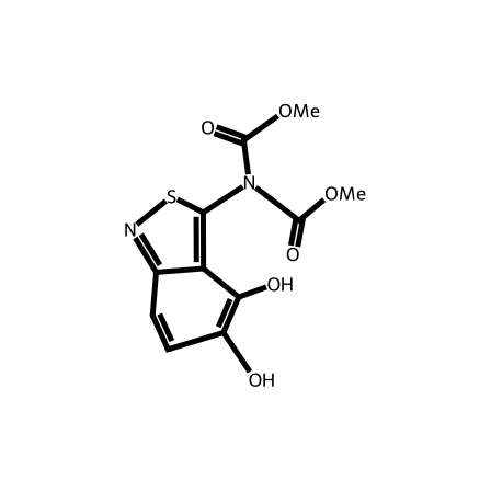 COC(=O)N(C(=O)OC)c1snc2ccc(O)c(O)c12